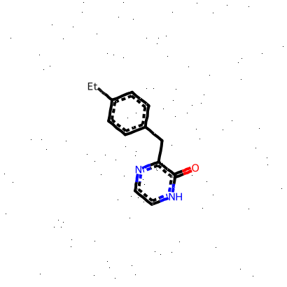 CCc1ccc(Cc2ncc[nH]c2=O)cc1